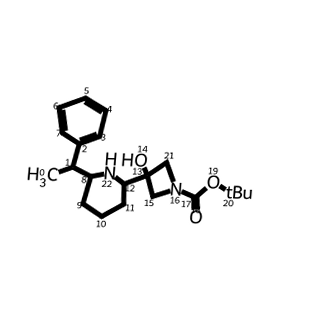 CC(c1ccccc1)C1CCCC(C2(O)CN(C(=O)OC(C)(C)C)C2)N1